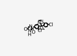 COC(c1ccc(Cl)cc1)(c1nccs1)c1ccc(-n2ncc(=O)[nH]c2=O)cc1Cl